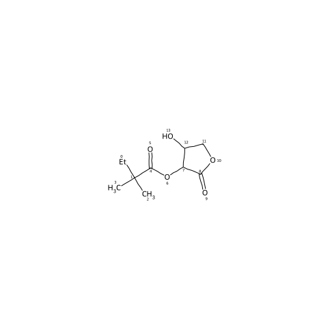 CCC(C)(C)C(=O)OC1C(=O)OCC1O